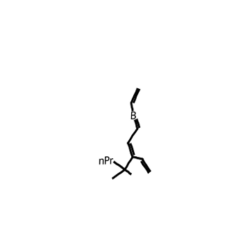 C=C/B=C\C=C(/C=C)C(C)(C)CCC